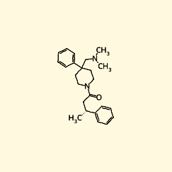 C[C@H](CC(=O)N1CCC(CN(C)C)(c2ccccc2)CC1)c1ccccc1